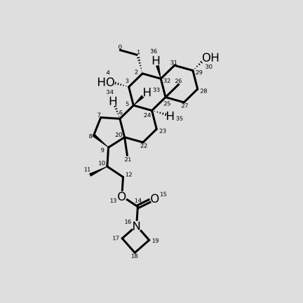 CC[C@H]1[C@@H](O)[C@H]2[C@@H]3CC[C@H]([C@H](C)COC(=O)N4CCC4)C3(C)CC[C@@H]2C2(C)CC[C@@H](O)C[C@@H]12